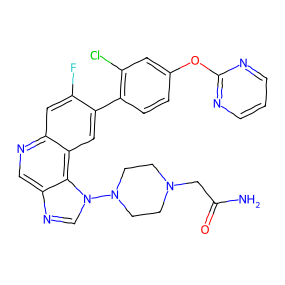 NC(=O)CN1CCN(n2cnc3cnc4cc(F)c(-c5ccc(Oc6ncccn6)cc5Cl)cc4c32)CC1